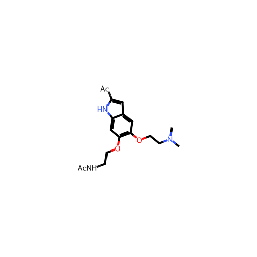 CC(=O)NCCOc1cc2[nH]c(C(C)=O)cc2cc1OCCN(C)C